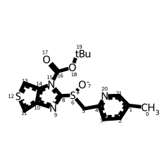 Cc1ccc(C[S+]([O-])c2nc3cscc3n2C(=O)OC(C)(C)C)nc1